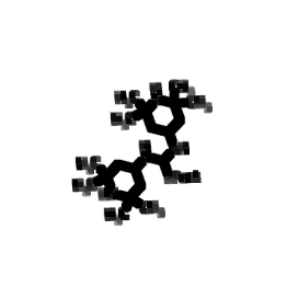 CCCCCC(NC1CC(C)(C)NC(C)(C)C1)NC1CC(C)(C)NC(C)(C)C1